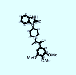 COc1cc(C(=O)C(C)N2CCC(n3c(=O)[nH]c4ccccc43)CC2)cc(OC)c1OC